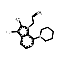 C=CCn1c(C)c(C)c2ccnc(N3CCCCC3)c21